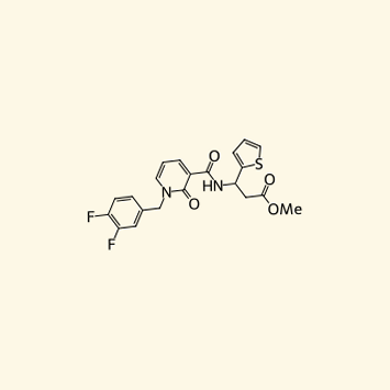 COC(=O)CC(NC(=O)c1cccn(Cc2ccc(F)c(F)c2)c1=O)c1cccs1